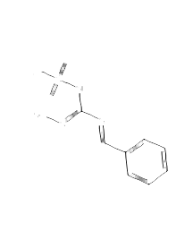 CS(=O)(=O)NC(N=Cc1ccccc1)=NC#N